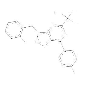 CC(C)(C)c1nc(-c2ccc(F)cc2)c2nnn(Cc3ccccc3Cl)c2n1